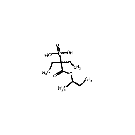 CCC(C)OC(=O)C(CC)(CC)P(=O)(O)O